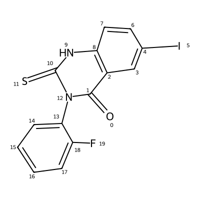 O=c1c2cc(I)ccc2[nH]c(=S)n1-c1ccccc1F